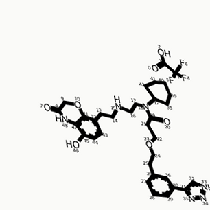 O=C(O)C(F)(F)F.O=C1COc2c(CCNCCN(C(=O)CCOCCc3cccc(-c4c[nH]nn4)c3)C3CCCCC3)ccc(O)c2N1